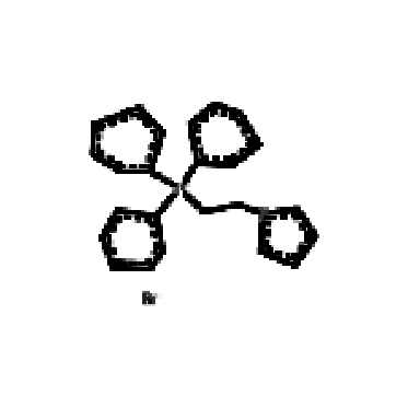 [Br-].c1ccc([P+](CCn2cccc2)(c2ccccc2)c2ccccc2)cc1